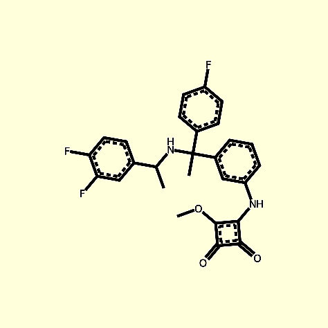 COc1c(Nc2cccc(C(C)(NC(C)c3ccc(F)c(F)c3)c3ccc(F)cc3)c2)c(=O)c1=O